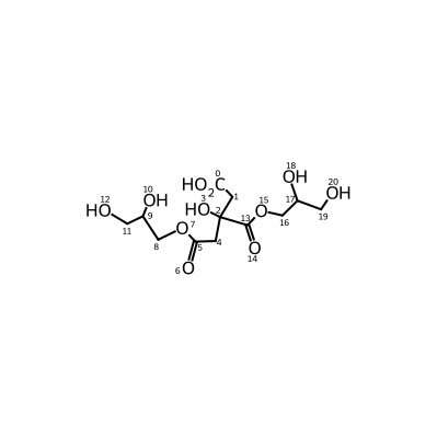 O=C(O)CC(O)(CC(=O)OCC(O)CO)C(=O)OCC(O)CO